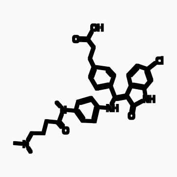 CN(C)CCCC(=O)N(C)c1ccc(N/C(=C2\C(=O)Nc3cc(Cl)ccc32)c2ccc(CCC(=O)O)cc2)cc1